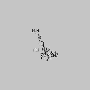 CC1(C)S[C@@H]2[C@H](N=CN3CCC(COCCN)CC3)C(=O)N2[C@H]1C(=O)O.Cl